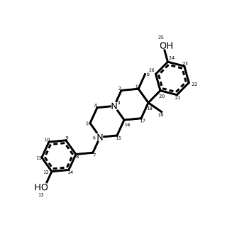 CC1CN2CCN(Cc3cccc(O)c3)CC2CC1(C)c1cccc(O)c1